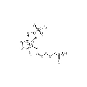 CS(=O)(=O)OC[C@H]1[C@@H](C/C=C\CCCC(=O)O)[C@H]2CC[C@@H]1O2